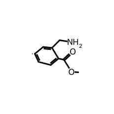 COC(=O)c1cc[c]cc1CN